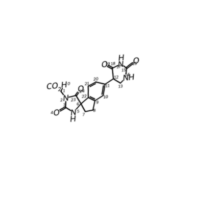 O=C(O)CN1C(=O)NC2(CCc3cc(C4CNC(=O)NC4=O)ccc32)C1=O